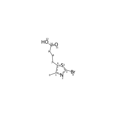 Cc1nc(Br)sc1CCCC(=O)O